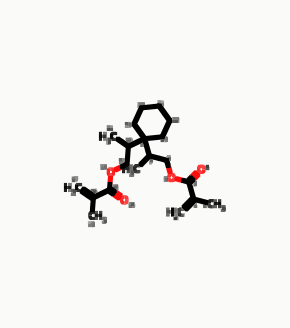 C=C(C)C(=O)OCC(C)C1(C(C)COC(=O)C(=C)C)CC[CH]CC1